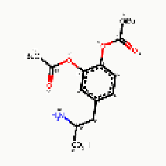 CC(C)COC(=O)Oc1ccc(C[C@H](N)C(=O)O)cc1OC(=O)OCC(C)C